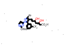 COc1nccc(-n2nc(C(C)C)c(C=C[C@@H](O)C[C@@H](O)CC(=O)O)c2-c2cccc(C(F)(F)F)c2)n1